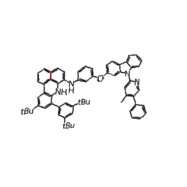 Cc1cc(-n2c3ccccc3c3ccc(Oc4cccc(Nc5ccccc5Nc5c(-c6ccccc6)cc(C(C)(C)C)cc5-c5cc(C(C)(C)C)cc(C(C)(C)C)c5)c4)cc32)ncc1-c1ccccc1